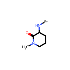 CCNC1CCCN(C)C1=O